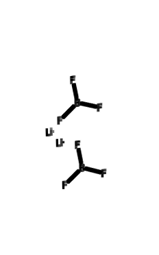 FB(F)F.FB(F)F.[Li].[Li]